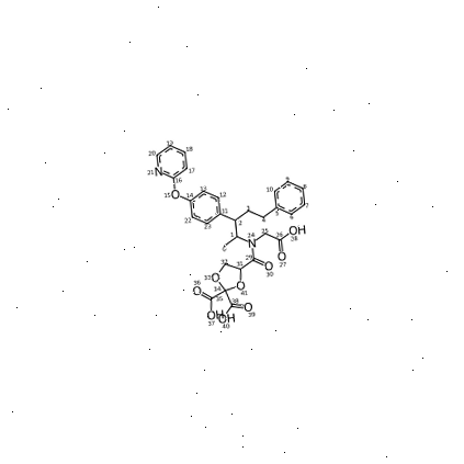 CC(C(CCc1ccccc1)c1ccc(Oc2ccccn2)cc1)N(CC(=O)O)C(=O)C1COC(C(=O)O)(C(=O)O)O1